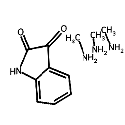 CN.CN.CN.O=C1Nc2ccccc2C1=O